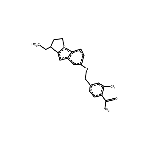 NC(=O)c1ccc(COc2ccc3c(c2)cc2n3CCC2CC(=O)O)cc1C(F)(F)F